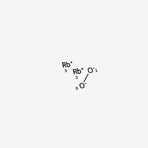 [O-][O-].[Rb+].[Rb+]